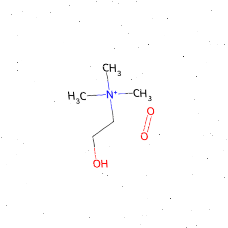 C[N+](C)(C)CCO.O=O